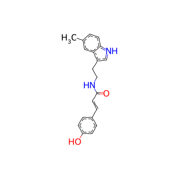 Cc1ccc2[nH]cc(CCNC(=O)/C=C/c3ccc(O)cc3)c2c1